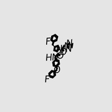 O=C(Nc1ccc(Oc2ccc(F)cc2)cc1)[C@@H]1C[C@@H](Cc2ccccc2F)CN1C(=O)Cn1nccn1